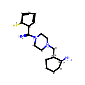 N=C(C1C=CC=CC1S)N1CCN(C[C@@H]2CCCC[C@@H]2N)CC1